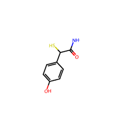 [NH]C(=O)C(S)c1ccc(O)cc1